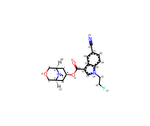 CN1[C@@H]2COC[C@H]1C[C@@H](OC(=O)c1cn(CCF)c3ccc(C#N)cc13)C2